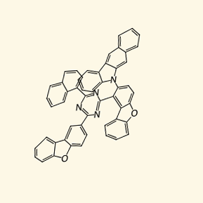 c1ccc2cc3c(cc2c1)c1ccccc1n3-c1ccc2oc3ccccc3c2c1-c1nc(-c2ccc3oc4ccccc4c3c2)nc(-c2cccc3ccccc23)n1